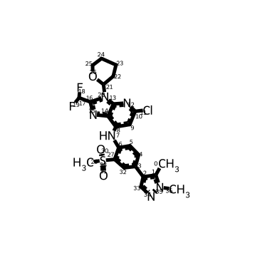 Cc1c(-c2ccc(Nc3cc(Cl)nc4c3nc(C(F)F)n4C3CCCCO3)c(S(C)(=O)=O)c2)cnn1C